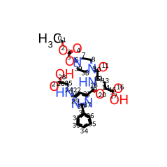 CCOC(=O)ON1CCN(C(=O)[C@H](CCC(=O)O)NC(=O)c2cc(NCC(=O)O)nc(-c3ccccc3)n2)CC1